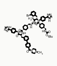 CC(C)(C)OC(=O)NC[C@H]1CC[C@H](C(=O)N(c2ccc(-c3nnn[nH]3)cc2)[C@@H](Cc2cccc(Br)c2)C(N)=O)CC1.CN1CCN(C(=O)c2ccc(-c3cccc(C[C@H](NC(=O)[C@H]4CC[C@H](CNC(=O)O)CC4)C(=O)Nc4ccc(-c5nnn[nH]5)cc4)c3)cc2)CC1